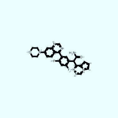 NC(=O)C(c1cc(-c2ncnc3cc(N4CCOCC4)ccc23)c(F)cc1F)c1nncn2cccc12